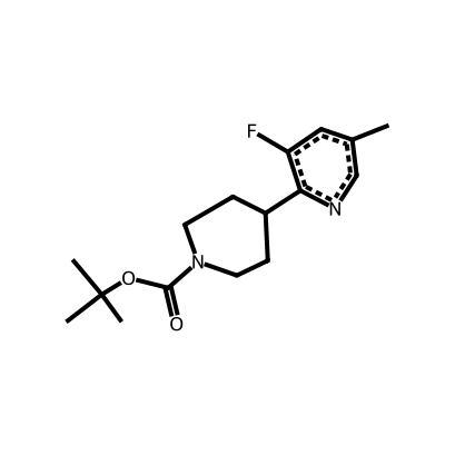 Cc1cnc(C2CCN(C(=O)OC(C)(C)C)CC2)c(F)c1